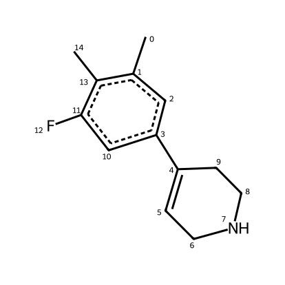 Cc1cc(C2=CCNCC2)cc(F)c1C